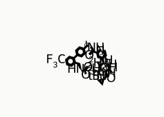 [2H]C1([2H])N(C(=O)C2CC2)C([2H])([2H])C([2H])([2H])N(c2ccnc(C(=O)N[C@H](C)c3ccc(-c4cc(C(F)(F)F)ccc4CNC(=O)OC(C)(C)C)cc3)c2)C1([2H])[2H]